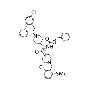 CSc1cccc(Cl)c1CN1CCN(C(=O)[C@H](NC(=O)OCc2ccccc2)C2CCN(CCc3cc(Cl)ccc3-c3ccccc3)CC2)CC1